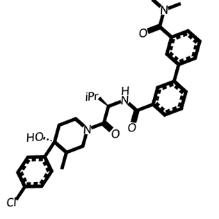 CC(C)[C@@H](NC(=O)c1cccc(-c2cccc(C(=O)N(C)C)c2)c1)C(=O)N1CC[C@](O)(c2ccc(Cl)cc2)C(C)C1